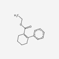 CCOC(=O)C1=C(c2ccccc2)CCCC1